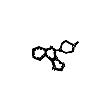 CN1CCN(c2nc3ccccc3c3ncnn23)CC1